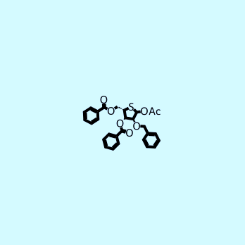 CC(=O)OC1S[C@@H](COC(=O)c2ccccc2)[C@@H](OC(=O)c2ccccc2)[C@@H]1OCc1ccccc1